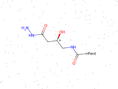 CCCCCC(=O)NC[C@H](O)CC(=O)NN